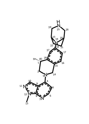 C[C@H]1CN(c2ccnc3c2cnn3C)Cc2ccc(N3C4CCC3CNC4)cc21